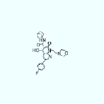 O=C(NC12CCC(C1)C2)c1c(O)c2cc(-c3ccc(F)cc3)cnc2n(CCN2CCOCC2)c1=O